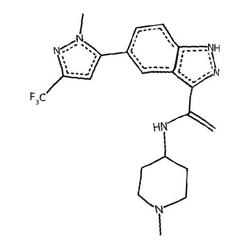 C=C(NC1CCN(C)CC1)c1n[nH]c2ccc(-c3cc(C(F)(F)F)nn3C)cc12